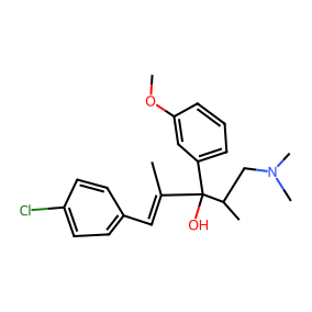 COc1cccc(C(O)(/C(C)=C/c2ccc(Cl)cc2)C(C)CN(C)C)c1